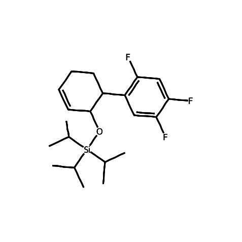 CC(C)[Si](OC1C=CCCC1c1cc(F)c(F)cc1F)(C(C)C)C(C)C